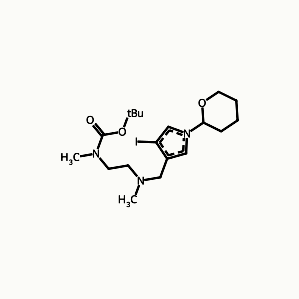 CN(CCN(C)C(=O)OC(C)(C)C)Cc1cn(C2CCCCO2)cc1I